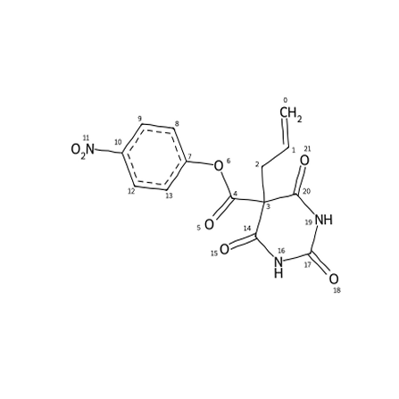 C=CCC1(C(=O)Oc2ccc([N+](=O)[O-])cc2)C(=O)NC(=O)NC1=O